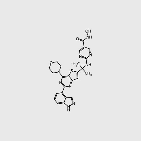 CC(C)(Nc1ncc(C(=O)NO)cn1)c1cc2nc(-c3cccc4[nH]ncc34)nc(N3CCOCC3)c2s1